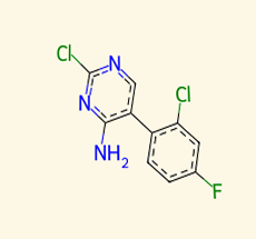 Nc1nc(Cl)ncc1-c1ccc(F)cc1Cl